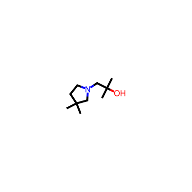 CC(C)(O)CN1CCC(C)(C)C1